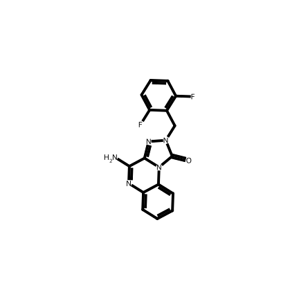 Nc1nc2ccccc2n2c(=O)n(Cc3c(F)cccc3F)nc12